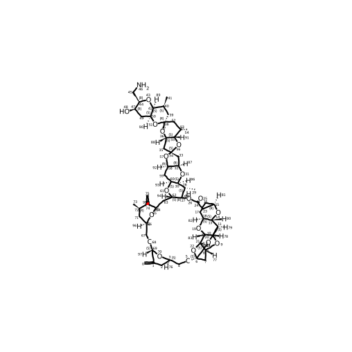 C=C1C[C@@H]2CC[C@@]34C[C@H]5O[C@H]6[C@@H](O3)[C@H]3O[C@H](CC[C@@H]3O[C@H]6[C@H]5O4)CC(=O)O[C@@H]3[C@@H](C)[C@@H]4O[C@@H]5C[C@]6(C[C@@H]7O[C@]8(C[C@H](C)[C@@H]9O[C@H](CN)[C@H](O)C[C@@H]9O8)C[C@H](C)[C@@H]7O6)O[C@@H]5C[C@@H]4O[C@H]3C[C@H]3O[C@@H](CC[C@@H]1O2)C[C@@H](C)C3=C